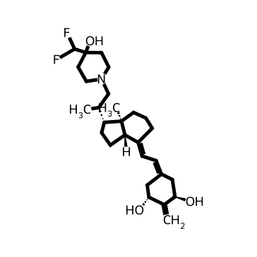 C=C1[C@H](O)CC(=C/C=C2\CCC[C@]3(C)[C@@H](C(C)CN4CCC(O)(C(F)F)CC4)CC[C@@H]23)C[C@H]1O